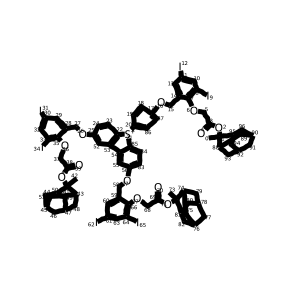 CC1(OC(=O)COc2c(I)cc(I)cc2COc2ccc(-[s+]3c4ccc(OCc5cc(I)cc(I)c5OCC(=O)OC5(C)C6CC7CC(C6)CC5C7)cc4c4cc(OCc5cc(I)cc(I)c5OCC(=O)OC5(C)C6CC7CC(C6)CC5C7)ccc43)cc2)C2CC3CC(C2)CC1C3